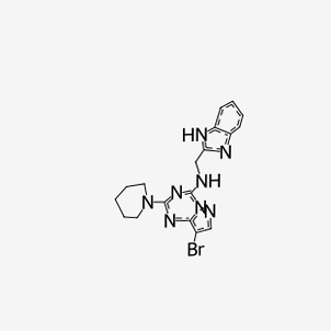 Brc1cnn2c(NCc3nc4ccccc4[nH]3)nc(N3CCCCC3)nc12